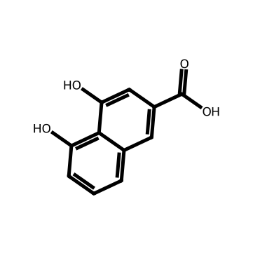 O=C(O)c1cc(O)c2c(O)cccc2c1